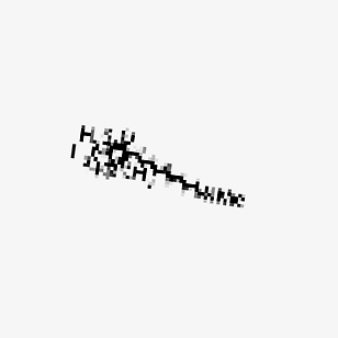 CNCCCCCCCCCCc1c(C)n(O)c(C)c(C)c1=O